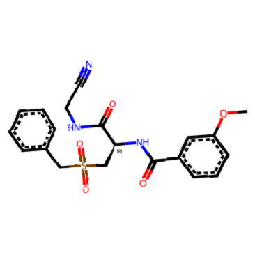 COc1cccc(C(=O)N[C@@H](CS(=O)(=O)Cc2ccccc2)C(=O)NCC#N)c1